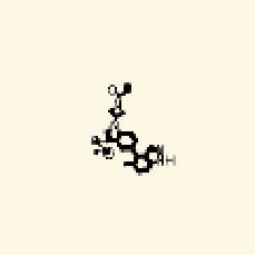 C=CC(=O)N1CC(n2cc(S(C)(=O)=O)c3cc(-c4c(C)ccc5[nH]ncc45)ccc32)C1